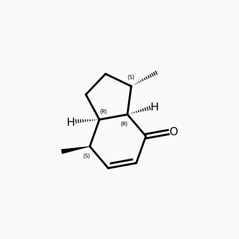 C[C@@H]1C=CC(=O)[C@H]2[C@@H]1CC[C@@H]2C